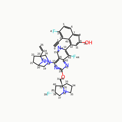 C#Cc1c(F)ccc2cc(O)cc(-c3ncc4c(N5CC6CCC(C=C)(C5)N6)nc(OC[C@@]56CCCN5C[C@H](F)C6)nc4c3F)c12